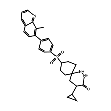 Cc1c(-c2ccc(S(=O)(=O)C3CCC4(CC3)CC(C3CC3)C(=O)NN4)cc2)ccc2cccnc12